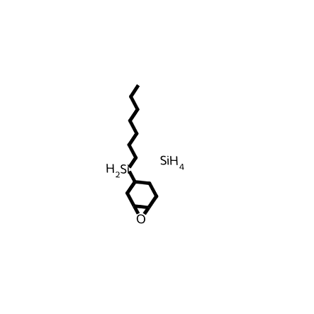 CCCCCCC[SiH2]C1CCC2OC2C1.[SiH4]